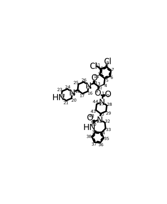 O=C(O[C@H](Cc1ccc(Cl)c(Cl)c1)C(=O)N1CCC(N2CCNCC2)CC1)N1CCC(N2CCc3ccccc3NC2=O)CC1